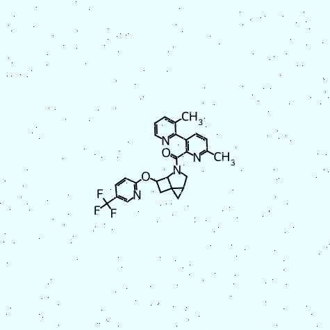 Cc1ccc(-c2ncccc2C)c(C(=O)N2CC3CC34CC(Oc3ccc(C(F)(F)F)cn3)C24)n1